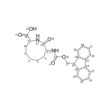 O=C(NC1CCCCCC(C(=O)O)NC1=O)OCC1c2ccccc2-c2ccccc21